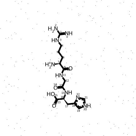 N=C(N)NCCC[C@H](N)C(=O)NCC(=O)N[C@@H](Cc1c[nH]cn1)C(=O)O